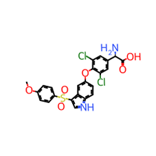 COc1ccc(S(=O)(=O)c2c[nH]c3ccc(Oc4c(Cl)cc([C@@H](N)C(=O)O)cc4Cl)cc23)cc1